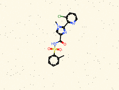 Cc1ccccc1S(=O)(=O)NC(=O)c1cn(C)c(-c2ncccc2Cl)n1